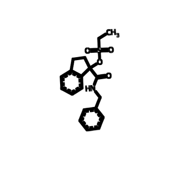 CCS(=O)(=O)OC1(C(=O)NCc2ccccc2)CCc2ccccc21